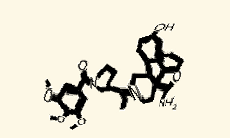 COc1cc(C(=O)N2CCC(C(C)N3CCC(C(N)=O)(c4ccccc4)C(c4ccc(O)cc4)C3)C2)cc(OC)c1OC